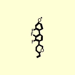 C=CC1CCC(c2ccc(-c3ccc(OC)cc3F)c(F)c2F)CO1